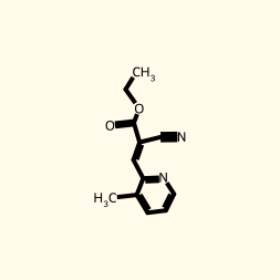 CCOC(=O)/C(C#N)=C/c1ncccc1C